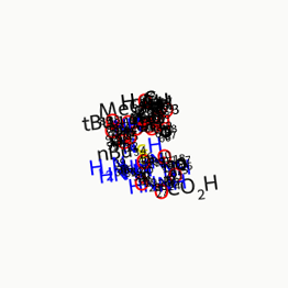 CCCCN(CCSSC[C@@H]1NC(=O)[C@@H](Cc2ccccc2)NC(=O)[C@H](CC(=O)O)NC(=O)CNC(=O)[C@H](CCCNC(=N)N)NC1=O)C(=O)O[C@@H](C(=O)OC1C=C2[C@@H](OC)C(=O)[C@@]3(C)[C@H]([C@H](OC(=O)c4ccccc4)[C@](O)(C1)C2(C)C)[C@]1(OC(C)=O)CO[C@@H]1C[C@@H]3C)[C@@H](NC(=O)OC(C)(C)C)c1ccccc1